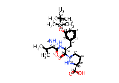 CC(C)[C@H](N)C(=O)N[C@@H](Cc1cccc(O[Si](C)(C)C(C)(C)C)c1)C(=O)N1CCC[C@@H](C(=O)O)N1